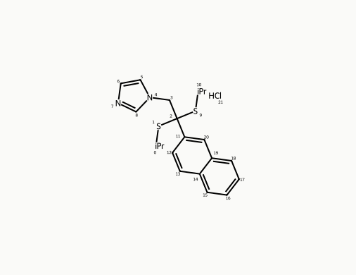 CC(C)SC(Cn1ccnc1)(SC(C)C)c1ccc2ccccc2c1.Cl